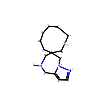 CN1Cc2ccnn2CC2(CCCCCCCC2)C1